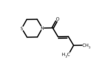 CC(C)/C=C/C(=O)N1CCSCC1